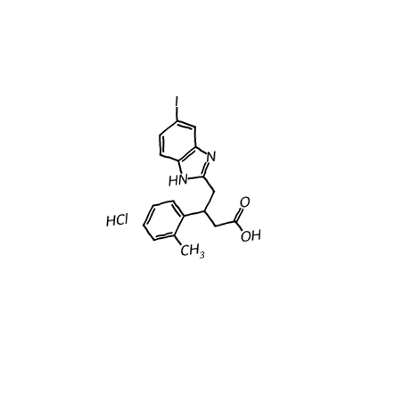 Cc1ccccc1C(CC(=O)O)Cc1nc2cc(I)ccc2[nH]1.Cl